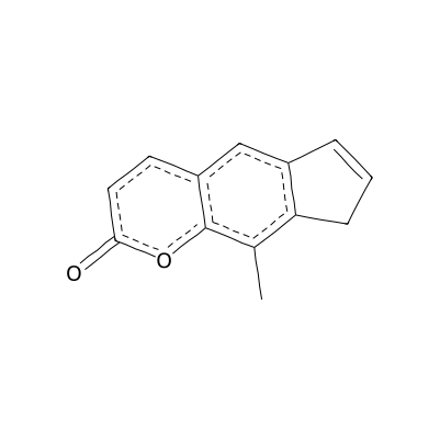 Cc1c2c(cc3ccc(=O)oc13)C=CC2